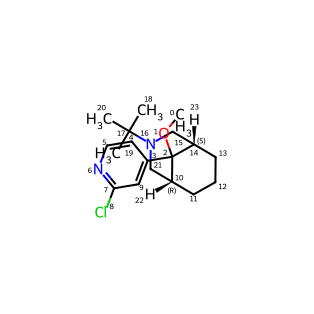 COC1(c2ccnc(Cl)c2)[C@@H]2CCC[C@H]1CN(C(C)(C)C)C2